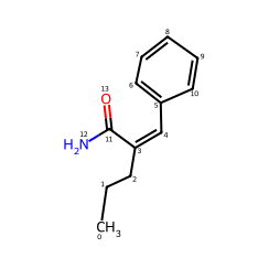 CCCC(=Cc1ccccc1)C(N)=O